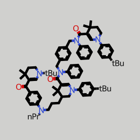 CCCN(CCCC1CN(c2ccc(C(C)(C)C)cc2)C=C(C(=O)N(Cc2ccc(CN(C(=O)C3=CN(c4ccc(C(C)(C)C)cc4)CCC3(C)C)c3ccccc3)cc2)c2ccccc2)C1(C)C)c1ccc(C(=O)C2=CN(C(C)(C)C)CCC2(C)C)cc1